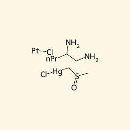 CCCC(N)CN.CS(=O)[CH2][Hg][Cl].[Cl][Pt]